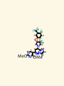 COc1ncc(-c2cc(N3C[C@H](Oc4ccc(F)c(C(F)F)c4)C(F)(F)C3)c3ncc(F)n3n2)c(OC)n1